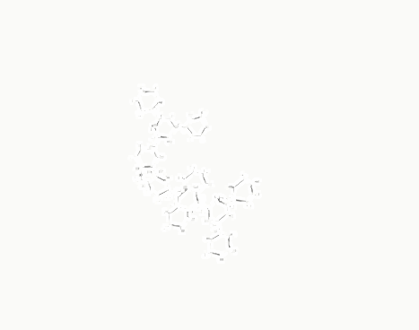 c1ccc(-c2cc(-c3ccccc3)nc(-c3ccc4oc5ccc(-c6c7ccccc7c(-c7cc(-c8ccccc8)cc(-c8ccccc8)n7)c7ccccc67)cc5c4c3)c2)cc1